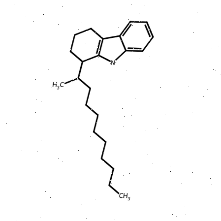 CCCCCCCCCC(C)C1CCCC2=C1[N]c1ccccc12